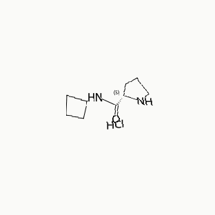 Cl.O=C(NC1CCC1)[C@@H]1CCCN1